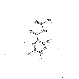 Cl.N=C(N)NC(=O)c1ccc(F)c(Cl)c1